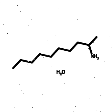 CCCCCCCCC(C)N.O